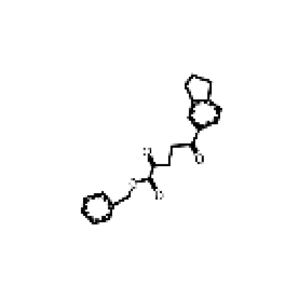 O=C(CCC(=O)c1ccc2c(c1)CCC2)C(=O)OCc1ccccc1